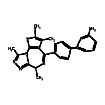 Cc1sc2c(c1C)C(c1ccc(-c3cccc(N)c3)cc1)=N[C@@H](C)c1nnc(C)n1-2